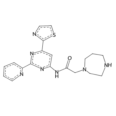 O=C(CN1CCCNCC1)Nc1cc(-c2nccs2)nc(-c2ccccn2)n1